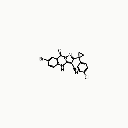 N#Cc1c(C2(c3ccc(Cl)cc3)CC2)nn2c(=O)c3cc(Br)ccc3[nH]c12